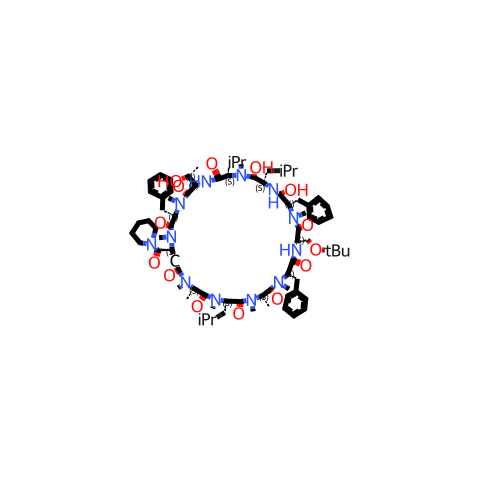 CC(C)C[C@@H]1NC(O)[C@H](Cc2ccccc2)N(C)C(=O)[C@H](COC(C)(C)C)NC(=O)[C@H](Cc2ccccc2)N(C)C(=O)[C@H](C)N(C)C(=O)[C@H](CC(C)C)N(C)C(=O)[C@H](C)N(C)C(=O)C[C@@H](C(=O)N2CCCCC2)N(C)C(=O)[C@H](Cc2ccccc2)N(C)C(=O)[C@H]([C@@H](C)O)NC(=O)[C@H](C(C)C)N(C)C1O